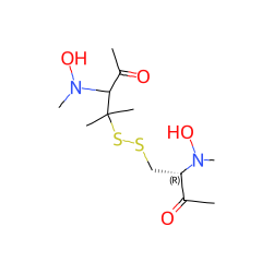 CC(=O)C(N(C)O)C(C)(C)SSC[C@@H](C(C)=O)N(C)O